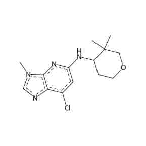 Cn1cnc2c(Cl)cc(NC3CCOCC3(C)C)nc21